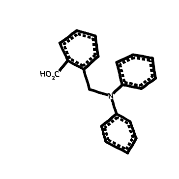 O=C(O)c1ccccc1CN(c1ccccc1)c1ccccc1